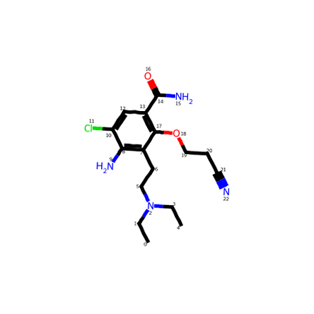 CCN(CC)CCc1c(N)c(Cl)cc(C(N)=O)c1OCCC#N